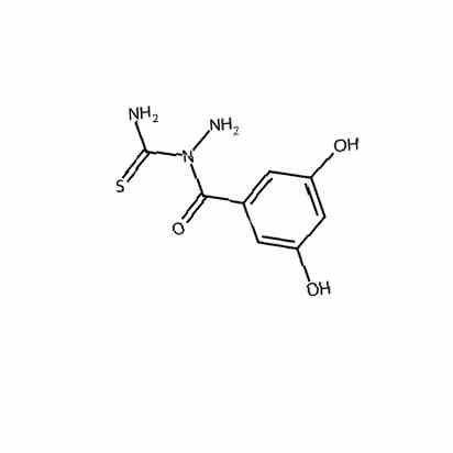 NC(=S)N(N)C(=O)c1cc(O)cc(O)c1